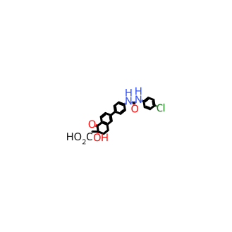 O=C(O)CC1(O)CCc2cc(-c3ccc(NC(=O)Nc4ccc(Cl)cc4)cc3)ccc2C1=O